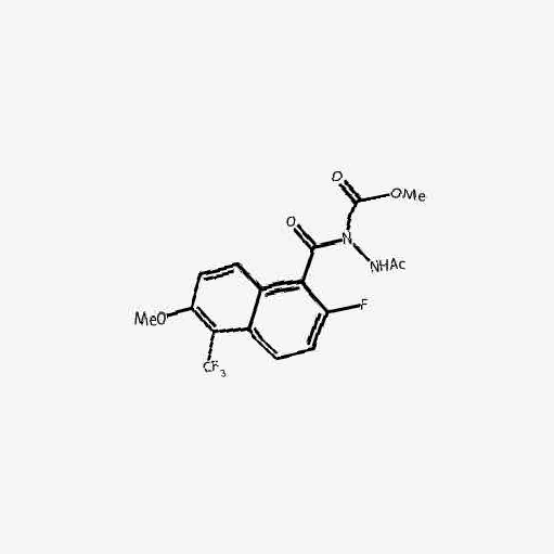 COC(=O)N(NC(C)=O)C(=O)c1c(F)ccc2c(C(F)(F)F)c(OC)ccc12